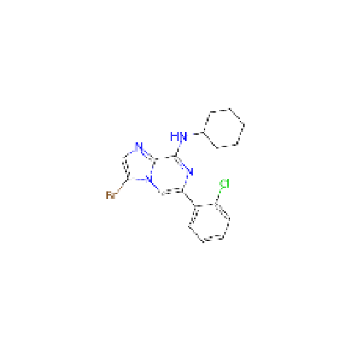 Clc1ccccc1-c1cn2c(Br)cnc2c(NC2CCCCC2)n1